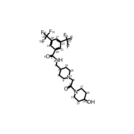 O=C(NCC1CCN(CC(=O)N2CCC(O)CC2)CC1)c1cc(C(F)(F)F)cc(C(F)(F)F)c1